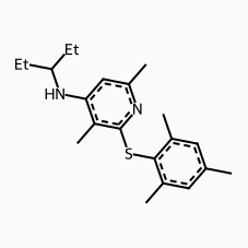 CCC(CC)Nc1cc(C)nc(Sc2c(C)cc(C)cc2C)c1C